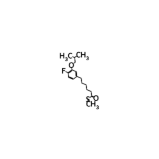 CSC(=O)CCCCCc1ccc(F)c(OCC(C)C)c1